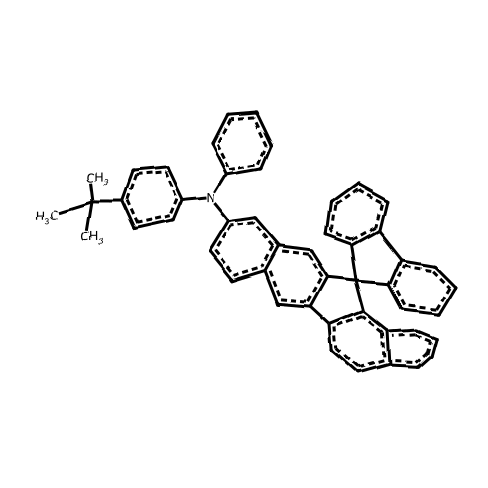 CC(C)(C)c1ccc(N(c2ccccc2)c2ccc3cc4c(cc3c2)C2(c3ccccc3-c3ccccc32)c2c-4ccc3ccccc23)cc1